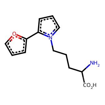 NC(CCCn1cccc1-c1ccco1)C(=O)O